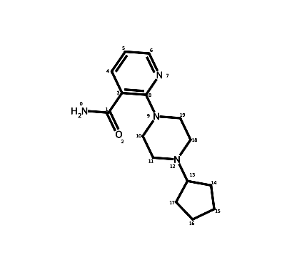 NC(=O)c1[c]ccnc1N1CCN(C2CCCC2)CC1